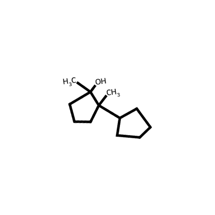 CC1(O)CCCC1(C)C1CCCC1